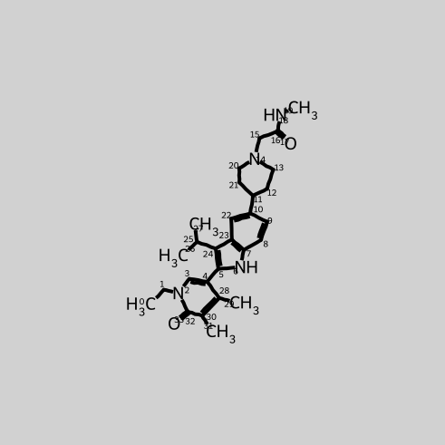 CCn1cc(-c2[nH]c3ccc(C4CCN(CC(=O)NC)CC4)cc3c2C(C)C)c(C)c(C)c1=O